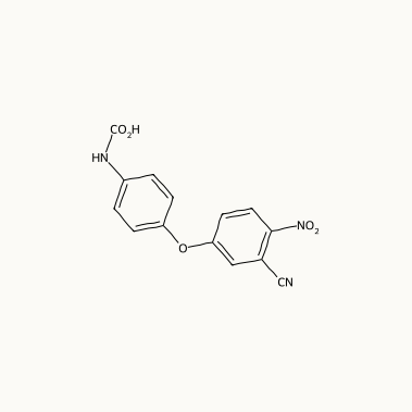 N#Cc1cc(Oc2ccc(NC(=O)O)cc2)ccc1[N+](=O)[O-]